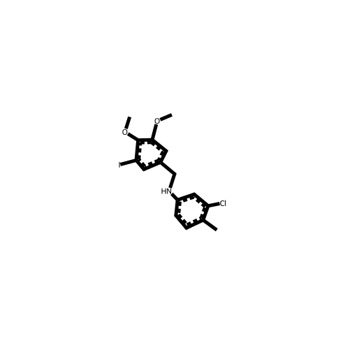 COc1cc(CNc2ccc(C)c(Cl)c2)cc(I)c1OC